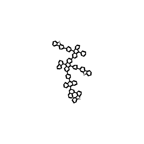 c1ccc(-c2c3ccccc3c(-c3ccc(-c4ccc5c(c4)sc4ccccc45)cc3)c3cc(-c4ccc5c(-c6cccc7ccccc67)c6ccc(-c7ccc(-c8c9ccccc9c(-c9cc(-c%10cccc%11sc%12ccccc%12c%10%11)c%10ccccc%10c9)c9ccccc89)cc7)cc6c(-c6ccc(-c7ccc8c(c7)sc7ccccc78)cc6)c5c4)ccc23)cc1